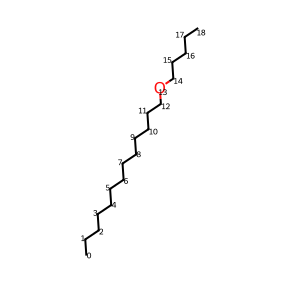 CCCCCCCCCCCCCOCCCCC